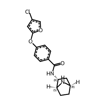 O=C(N[C@@H]1C[C@H]2CC[C@@H]1N2)c1ccc(Oc2cc(Cl)co2)cc1